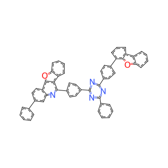 c1ccc(-c2ccc3c(c2)nc(-c2ccc(-c4nc(-c5ccccc5)nc(-c5ccc(-c6cccc7c6oc6ccccc67)cc5)n4)cc2)c2c4ccccc4oc32)cc1